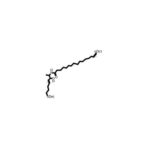 CCCCCCCC/C=C\CCCCCCCCCCCCCC(=O)NC(C)C(O)/C=C/CCCCCCCCCCCCC